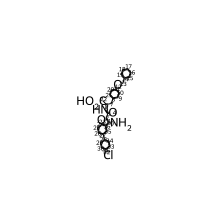 Nc1c(C(=O)NC(Cc2ccc(OCc3ccccc3)cc2)C(=O)O)oc2ccc(-c3ccc(Cl)cc3)cc12